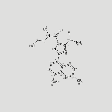 CCN(CCO)C(=O)c1nc(-c2ccc(OC)c3nc(C(F)(F)F)ccc23)oc1[C@H](C)N